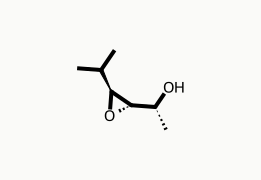 CC(C)[C@@H]1O[C@H]1[C@@H](C)O